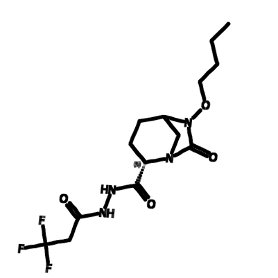 CCCCON1C(=O)N2CC1CC[C@H]2C(=O)NNC(=O)CC(F)(F)F